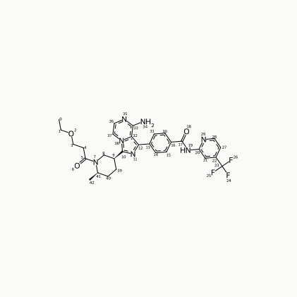 CCOCCC(=O)N1C[C@@H](c2nc(-c3ccc(C(=O)Nc4cc(C(F)(F)F)ccn4)cc3)c3c(N)nccn23)CC[C@H]1C